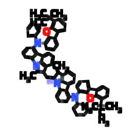 C=c1/c(=C\c2c(C)n3c4cccc(N(c5ccccc5)c5cccc6c5oc5c(C(C)(C)C)cccc56)c4c4cccc2c43)n2c3cccc(N(c4ccccc4)c4cccc5c4oc4c(C(C)(C)C)cccc45)c3c3cccc1c32